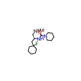 CNC[C@H](CC1(F)CCCCC1)NC(=O)N1CCCCC1